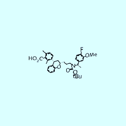 COc1cc([C@@H](C)N(CCC[C@H]2C[C@@H](c3ccc(C)c(C(=O)O)c3C)c3ccccc3O2)C(=O)OC(C)(C)C)ccc1F